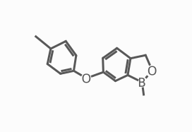 CB1OCc2ccc(Oc3ccc(C)cc3)cc21